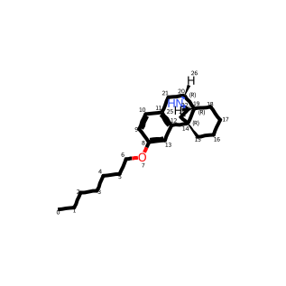 CCCCCCCOc1ccc2c(c1)[C@@]13CCCC[C@H]1[C@@H](C2)NCC3